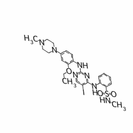 CCOc1cc(N2CCN(C)CC2)ccc1Nc1ncc(I)c(Nc2ccccc2S(=O)(=O)NC)n1